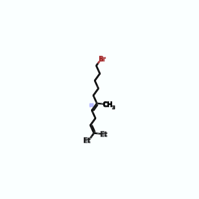 CCC(=CC/C=C(\C)CCCCCBr)CC